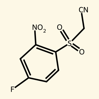 N#CCS(=O)(=O)c1ccc(F)cc1[N+](=O)[O-]